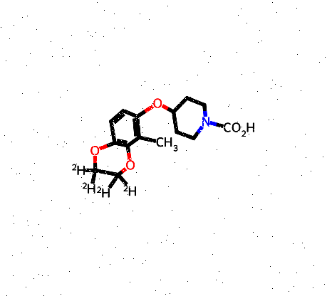 [2H]C1([2H])Oc2ccc(OC3CCN(C(=O)O)CC3)c(C)c2OC1([2H])[2H]